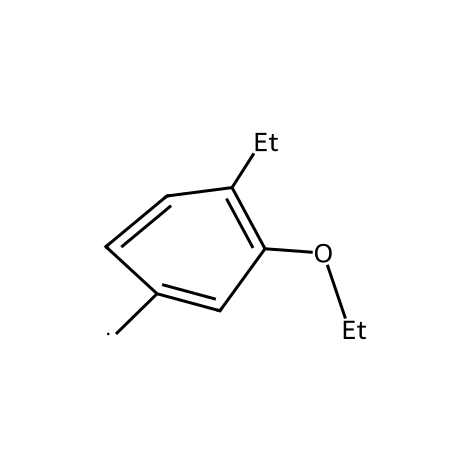 [CH2]c1ccc(CC)c(OCC)c1